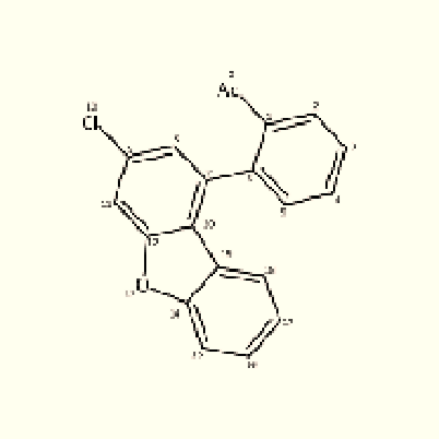 CC(=O)c1ccccc1-c1cc(Cl)cc2oc3ccccc3c12